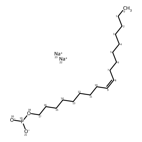 CCCCCCCC/C=C\CCCCCCCCOP([O-])[O-].[Na+].[Na+]